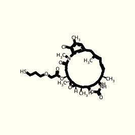 C/C1=C\C=C\[C@@H](C)[C@@]2(O)C[C@H](OC(=O)N2)[C@@H](C)[C@@H]2O[C@@]2(C)[C@@H](OC(=O)COCCCS)CC(=O)N(C)c2cc(cc(C)c2Cl)C1